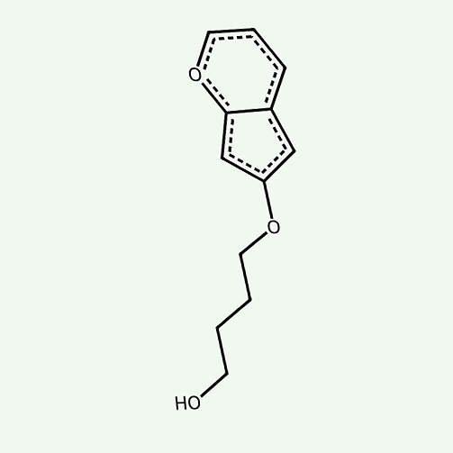 OCCCCOc1cc2cccoc-2c1